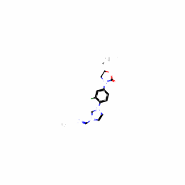 CON=CN1C=CN(c2ccc(N3C[C@H](CNC(C)=O)OC3=O)cc2F)C1